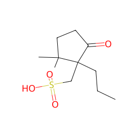 CCCC1(CS(=O)(=O)O)C(=O)CCC1(C)C